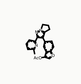 CC(=O)Oc1coc2ccc(-c3c(-c4cccc(C)n4)nn4c3CCC4)cc12